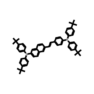 CC(C)(C)c1ccc(N(c2ccc(/C=C/c3ccc4cc(N(c5ccc(C(C)(C)C)cc5)c5ccc(C(C)(C)C)cc5)ccc4c3)cc2)c2ccc(C(C)(C)C)cc2)cc1